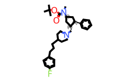 CN(C(=O)OC(C)(C)C)[C@@H]1C[C@@H](CN2CCC(CCCc3ccc(F)cc3)CC2)[C@H](c2ccccc2)C1